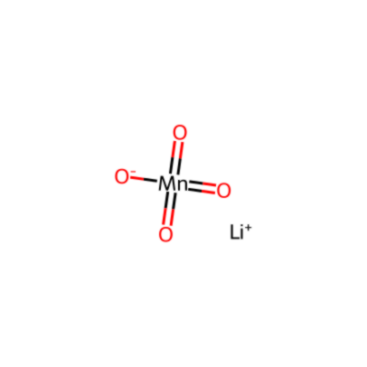 [Li+].[O]=[Mn](=[O])(=[O])[O-]